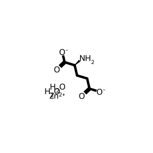 N[C@@H](CCC(=O)[O-])C(=O)[O-].O.O.[Zn+2]